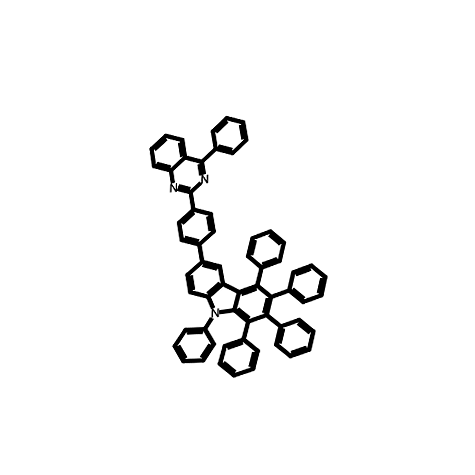 c1ccc(-c2c(-c3ccccc3)c(-c3ccccc3)c3c(c2-c2ccccc2)c2cc(-c4ccc(-c5nc(-c6ccccc6)c6ccccc6n5)cc4)ccc2n3-c2ccccc2)cc1